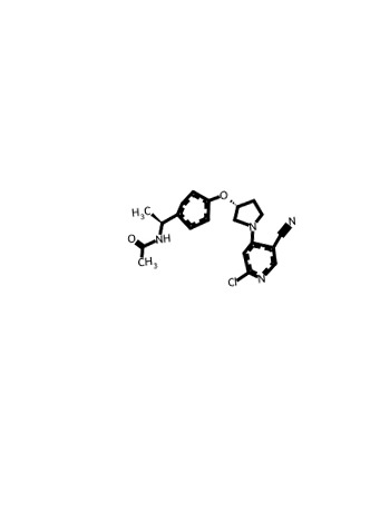 CC(=O)N[C@@H](C)c1ccc(O[C@@H]2CCN(c3cc(Cl)ncc3C#N)C2)cc1